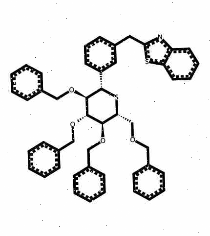 c1ccc(COC[C@H]2S[C@@H](c3cccc(Cc4nc5ccccc5s4)c3)[C@H](OCc3ccccc3)[C@@H](OCc3ccccc3)[C@@H]2OCc2ccccc2)cc1